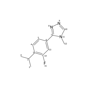 CC(C)c1ccc(-c2nncn2C)cc1F